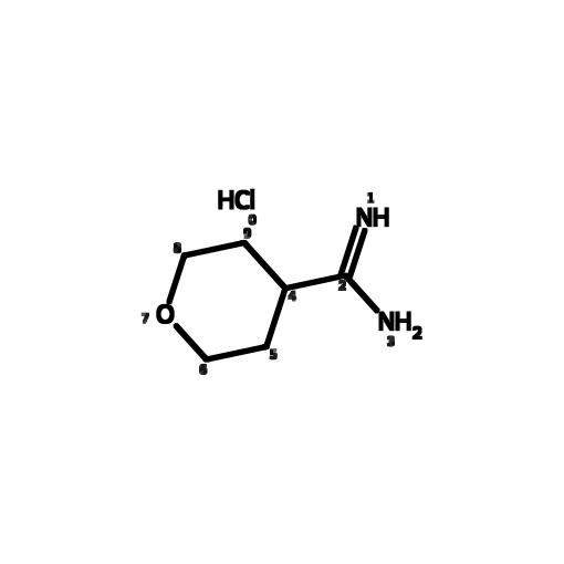 Cl.N=C(N)C1CCOCC1